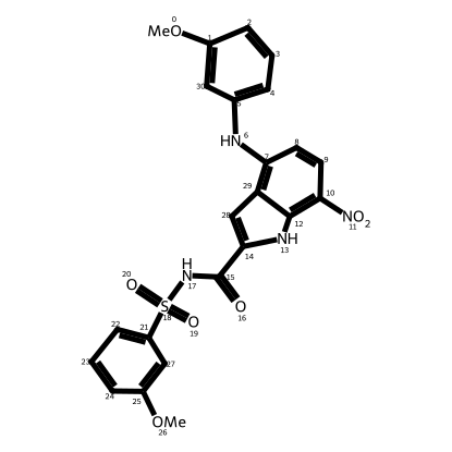 COc1cccc(Nc2ccc([N+](=O)[O-])c3[nH]c(C(=O)NS(=O)(=O)c4cccc(OC)c4)cc23)c1